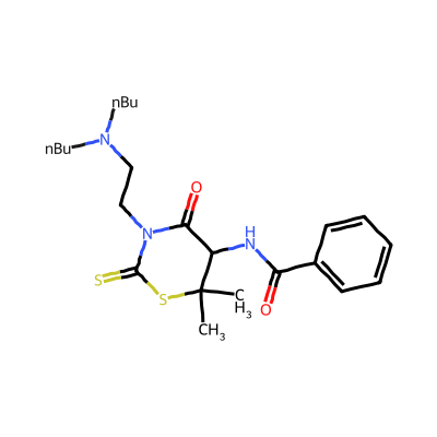 CCCCN(CCCC)CCN1C(=O)C(NC(=O)c2ccccc2)C(C)(C)SC1=S